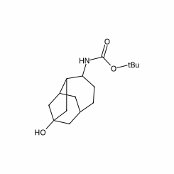 CC(C)(C)OC(=O)NC1CCC2CC3CC(O)(C2)CC31